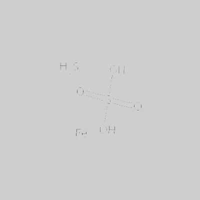 O=S(=O)(O)O.S.[Fe]